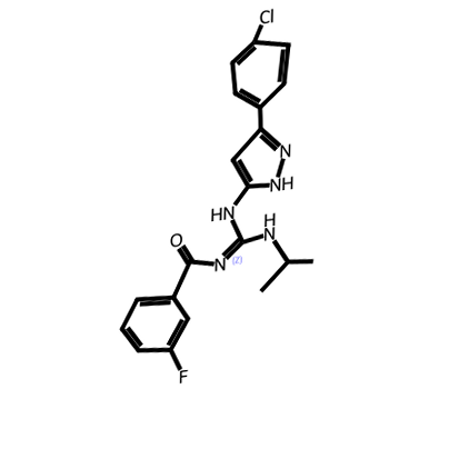 CC(C)N/C(=N/C(=O)c1cccc(F)c1)Nc1cc(-c2ccc(Cl)cc2)n[nH]1